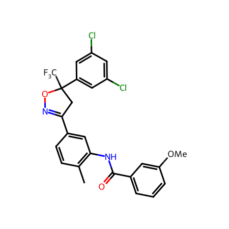 COc1cccc(C(=O)Nc2cc(C3=NOC(c4cc(Cl)cc(Cl)c4)(C(F)(F)F)C3)ccc2C)c1